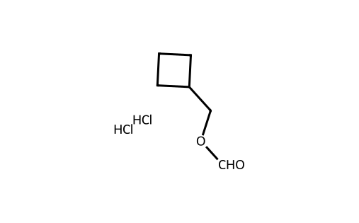 Cl.Cl.O=COCC1CCC1